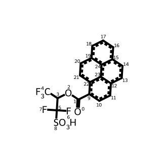 O=C(OC(C(F)(F)F)C(F)(F)S(=O)(=O)O)c1ccc2ccc3cccc4ccc1c2c34